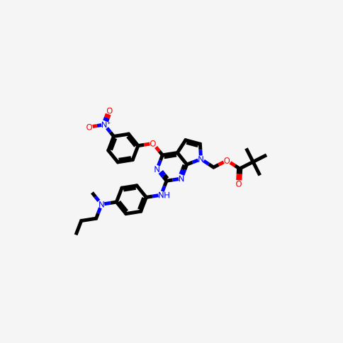 CCCN(C)c1ccc(Nc2nc(Oc3cccc([N+](=O)[O-])c3)c3ccn(COC(=O)C(C)(C)C)c3n2)cc1